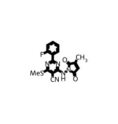 CSc1nc(-c2ccccc2F)nc(NN2C(=O)C=C(C)C2=O)c1C#N